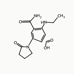 CCNc1ccc(N2CCCC2=O)cc1C(N)=O.O=CO